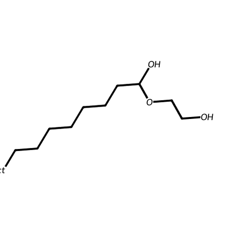 CCCCCCCCCCCCCCCC(O)OCCO